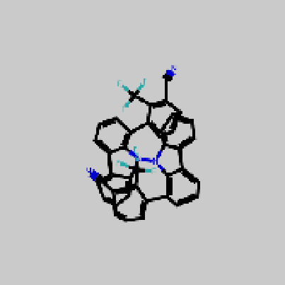 N#Cc1cccc(-c2cccc3c4ccccc4n(-n4c5ccccc5c5cccc(-c6cccc(C#N)c6C(F)(F)F)c54)c23)c1C(F)(F)F